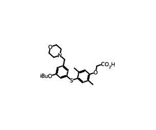 Cc1cc(Sc2cc(CN3CCOCC3)cc(OCC(C)C)c2)c(C)cc1OCC(=O)O